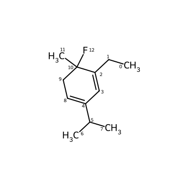 CCC1=CC(C(C)C)=CCC1(C)F